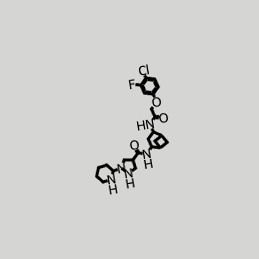 O=C(COc1ccc(Cl)c(F)c1)NC1CC(NC(=O)C2CNN(C3CCCCN3)C2)C2CC1C2